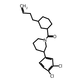 C=CCCC1CCCC(C(=O)N2CCCC(c3ccc(Cl)c(Cl)c3)C2)C1